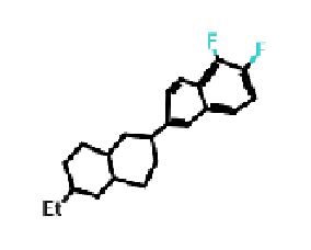 CCC1CCC2CC(c3ccc4c(F)c(F)ccc4c3)CCC2C1